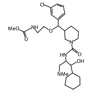 CNCC(NC(=O)N1CCCC(C(OCCNC(=O)OC)c2cccc(Cl)c2)C1)C(O)C1CCCCC1